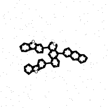 c1ccc2cc3cc(-c4c5cccc(-c6ccc7c(c6)oc6ccccc67)c5cc5c(-c6ccc7c(c6)oc6ccccc67)cccc45)ccc3cc2c1